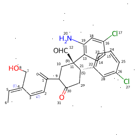 C=C(/C=C\C(=C/C)CO)C1C[C@](C=O)(c2ccc(Cl)cc2N)[C@H](c2cccc(Cl)c2)CC1=O